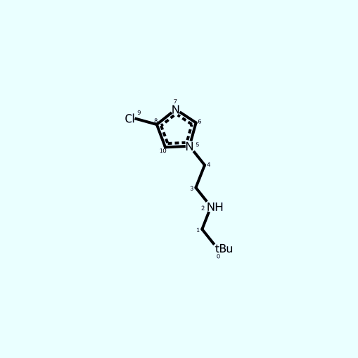 CC(C)(C)CNCCn1cnc(Cl)c1